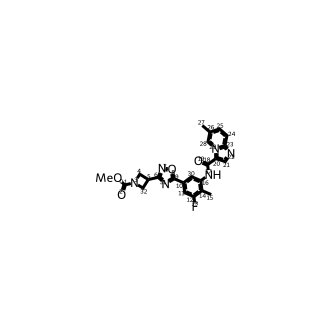 COC(=O)N1CC(c2noc(-c3cc(F)c(C)c(NC(=O)c4cnc5ccc(C)cn45)c3)n2)C1